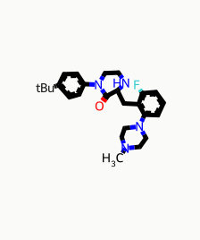 CN1CCN(c2cccc(F)c2CC2NCCN(c3ccc(C(C)(C)C)cc3)C2=O)CC1